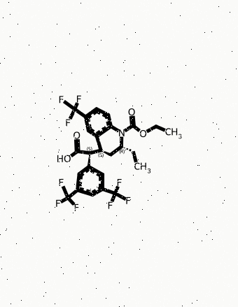 CCOC(=O)N1c2ccc(C(F)(F)F)cc2[C@H]([C@H](C(=O)O)c2cc(C(F)(F)F)cc(C(F)(F)F)c2)C[C@H]1CC